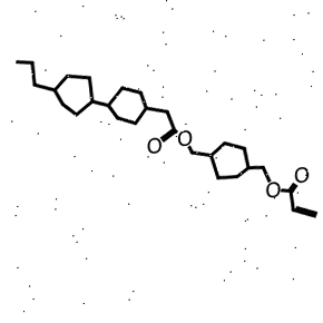 C=CC(=O)OCC1CCC(COC(=O)CC2CCC(C3CCC(CCC)CC3)CC2)CC1